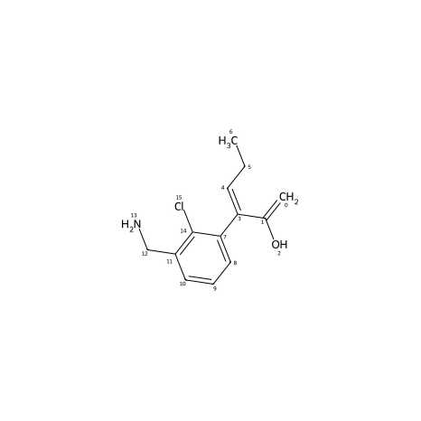 C=C(O)/C(=C\CC)c1cccc(CN)c1Cl